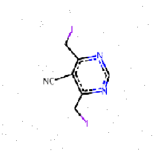 N#Cc1c(CI)ncnc1CI